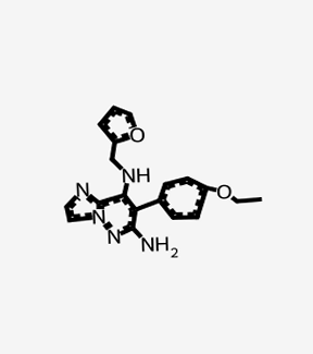 CCOc1ccc(-c2c(N)nn3ccnc3c2NCc2ccco2)cc1